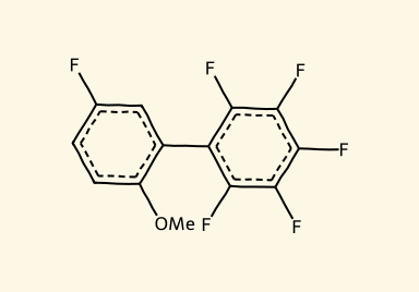 COc1ccc(F)cc1-c1c(F)c(F)c(F)c(F)c1F